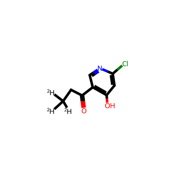 [2H]C([2H])([2H])CC(=O)c1cnc(Cl)cc1O